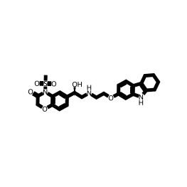 CS(=O)(=O)N1C(=O)COc2ccc([C@@H](O)CNCCOc3ccc4c5c([nH]c4c3)CCCC5)cc21